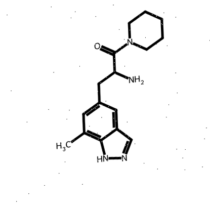 Cc1cc(CC(N)C(=O)N2CCCCC2)cc2cn[nH]c12